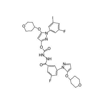 O=C(NNC(=O)c1cc(F)cc(-n2nccc2OC2CCOCC2)c1)Oc1cc(OC2CCOCC2)n(-c2cc(F)cc(I)c2)n1